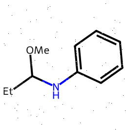 CCC(Nc1ccccc1)OC